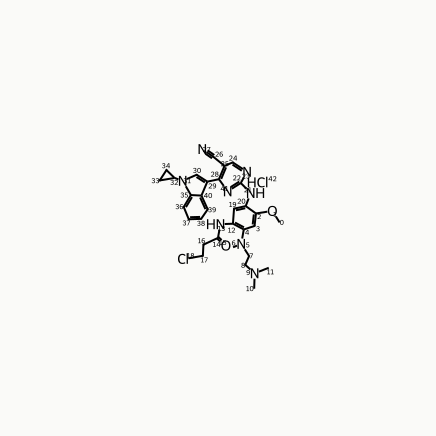 COc1cc(N(C)CCN(C)C)c(NC(=O)CCCl)cc1Nc1ncc(C#N)c(-c2cn(C3CC3)c3ccccc23)n1.Cl